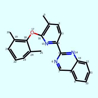 Cc1ccc(-c2ncc3ccccc3n2)nc1Oc1c(C)cccc1C